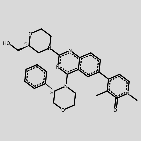 Cc1c(-c2ccc3nc(N4CCO[C@H](CO)C4)nc(N4CCOC[C@@H]4c4ccccc4)c3c2)ccn(C)c1=O